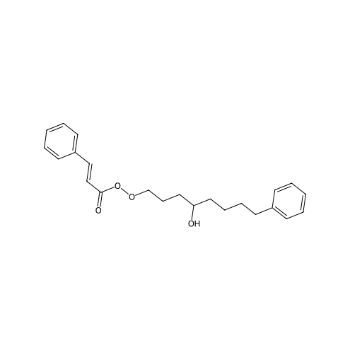 O=C(C=Cc1ccccc1)OOCCCC(O)CCCCc1ccccc1